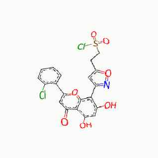 O=c1cc(-c2ccccc2Cl)oc2c(-c3cc(CCS(=O)(=O)Cl)on3)c(O)cc(O)c12